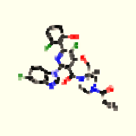 C=CC(=O)N1CCN2C(=O)c3c(-n4cnc5cc(F)ccc54)nc(-c4c(O)cccc4F)c(Cl)c3OC[C@H]2C1